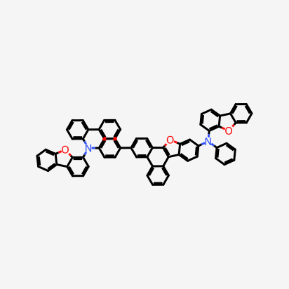 c1ccc(-c2ccccc2N(c2ccc(-c3ccc4c(c3)c3ccccc3c3c5ccc(N(c6ccccc6)c6cccc7c6oc6ccccc67)cc5oc43)cc2)c2cccc3c2oc2ccccc23)cc1